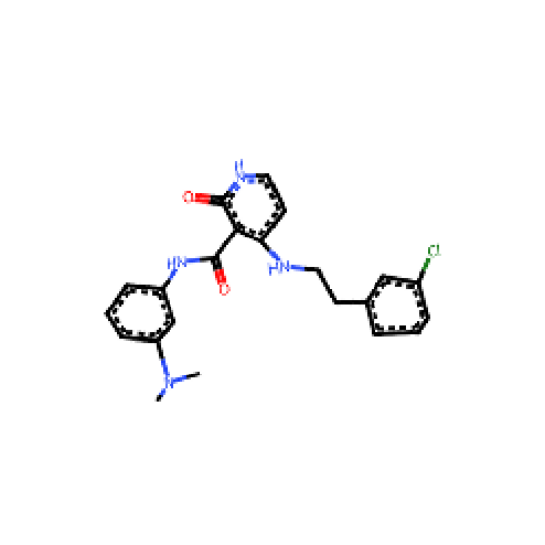 CN(C)c1cccc(NC(=O)c2c(NCCc3cccc(Cl)c3)cc[nH]c2=O)c1